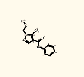 CCOCn1ncc(C(=O)Nc2ccccc2)c1C(F)(F)F